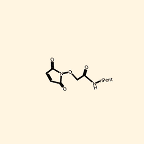 CCCCCNC(=O)CON1C(=O)C=CC1=O